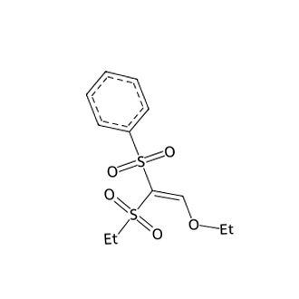 CCOC=C(S(=O)(=O)CC)S(=O)(=O)c1ccccc1